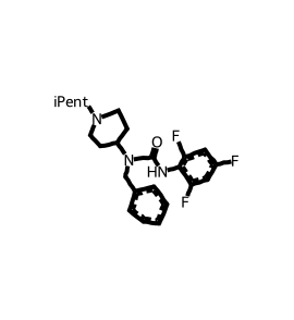 CCCC(C)N1CCC(N(Cc2ccccc2)C(=O)Nc2c(F)cc(F)cc2F)CC1